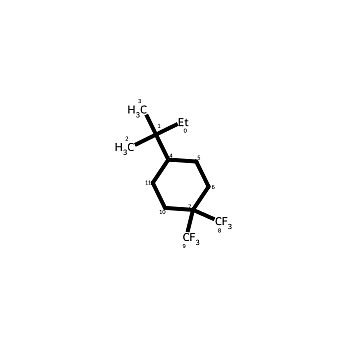 CCC(C)(C)C1CCC(C(F)(F)F)(C(F)(F)F)CC1